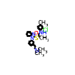 Cc1ccc(NC(=O)C(C)Sc2nc3ccccc3n2-c2cccc(CCN(C)C)c2)c(Cl)c1